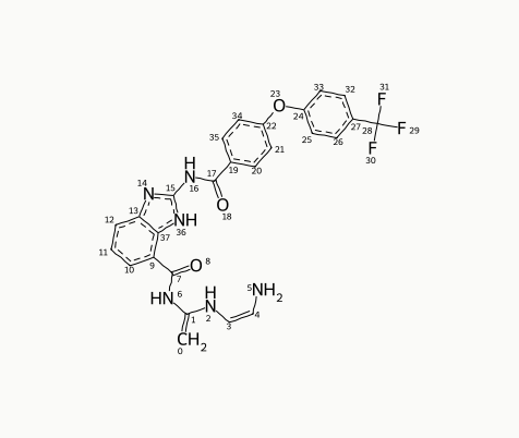 C=C(N/C=C\N)NC(=O)c1cccc2nc(NC(=O)c3ccc(Oc4ccc(C(F)(F)F)cc4)cc3)[nH]c12